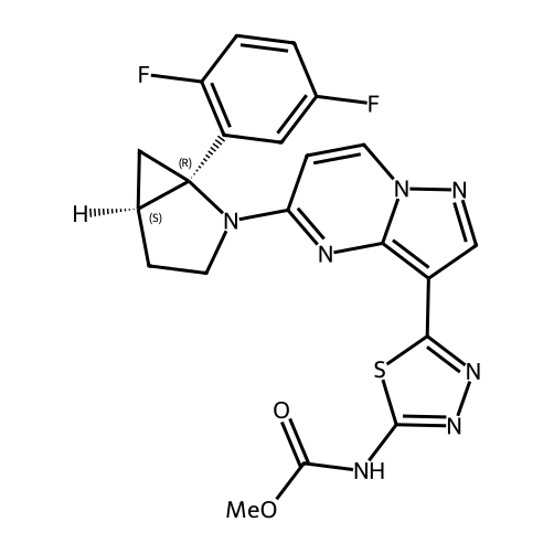 COC(=O)Nc1nnc(-c2cnn3ccc(N4CC[C@H]5C[C@]54c4cc(F)ccc4F)nc23)s1